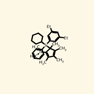 CCc1cc(CC)cc([Si](c2ccccc2)(C2CCCCC2)C2(C)C(C)=C(C)C(C)=[C]2[Ti]([CH3])[CH3])c1